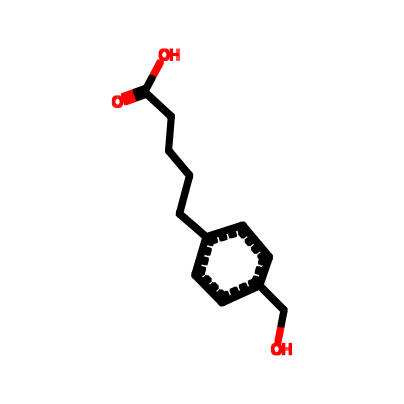 O=C(O)CCCCc1ccc(CO)cc1